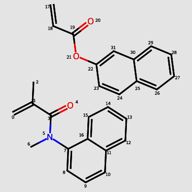 C=C(C)C(=O)N(C)c1cccc2ccccc12.C=CC(=O)Oc1ccc2ccccc2c1